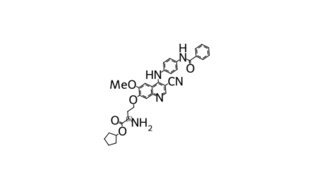 COc1cc2c(Nc3ccc(NC(=O)c4ccccc4)cc3)c(C#N)cnc2cc1OCC[C@H](N)C(=O)OC1CCCC1